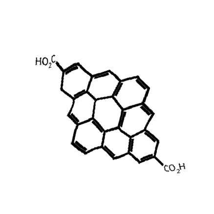 O=C(O)C1=CC2=Cc3ccc4cc5cc(C(=O)O)cc6cc7ccc8c9c7c(c4c3C9C2=C(C=8)C1)c56